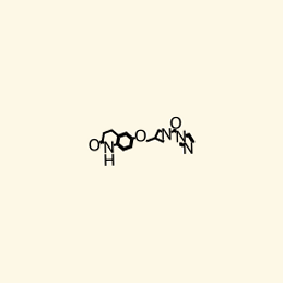 O=C1CCc2cc(OCC3CN(C(=O)n4ccnc4)C3)ccc2N1